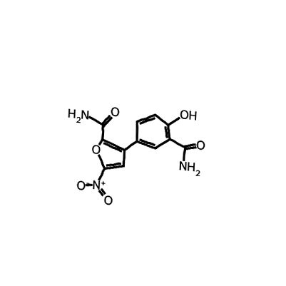 NC(=O)c1cc(-c2cc([N+](=O)[O-])oc2C(N)=O)ccc1O